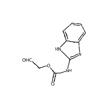 O=CCOC(=O)Nc1nc2ccccc2[nH]1